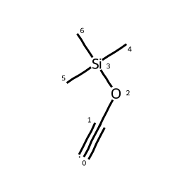 [C]#CO[Si](C)(C)C